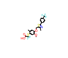 COc1cc(SC(F)(F)C(=O)O)c(C)cc1OCc1sc(-c2ccc(C(F)(F)F)cc2)nc1C